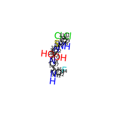 OC(CN1CCC(c2c[nH]c3ccc(F)cc23)CC1)C1(O)CCN(C(=S)Nc2ccc(Cl)c(Cl)c2)CC1